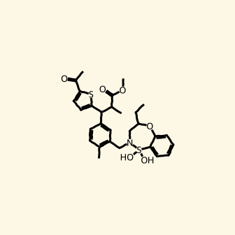 CCC1CN(Cc2cc(C(c3ccc(C(C)=O)s3)C(C)C(=O)OC)ccc2C)S(O)(O)c2ccccc2O1